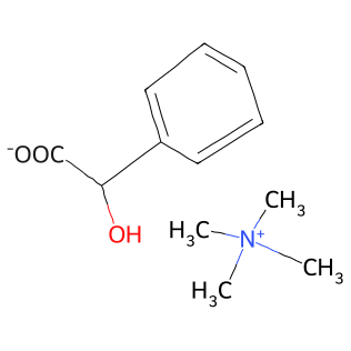 C[N+](C)(C)C.O=C([O-])C(O)c1ccccc1